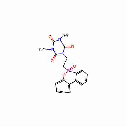 CCCn1c(=O)n(CCC)c(=O)n(CCP2(=O)Oc3ccccc3-c3ccccc32)c1=O